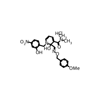 COc1ccc(CON=CC2(O)C(C(=O)N(C)C)=CC=CN2Cc2ccc([N+](=O)[O-])cc2O)cc1.Cl